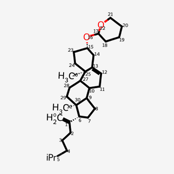 C=C(CCCC(C)C)[C@H]1CCC2C3CC=C4C[C@@H](OC5CCCCO5)CC[C@]4(C)C3CC[C@@]21C